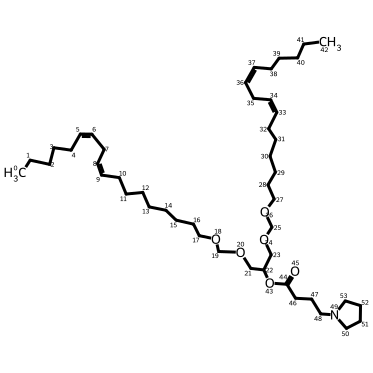 CCCCC/C=C\C/C=C\CCCCCCCCOCOCC(COCOCCCCCC/C=C\C/C=C\CCCCC)OC(=O)CCCN1CCCC1